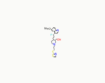 COc1ccc2nccc([C@H](F)CC[C@@H]3CCN(CCCSc4nccs4)C[C@@H]3CO)c2c1